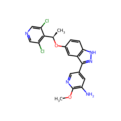 COc1ncc(-c2n[nH]c3ccc(O[C@H](C)c4c(Cl)cncc4Cl)cc23)cc1N